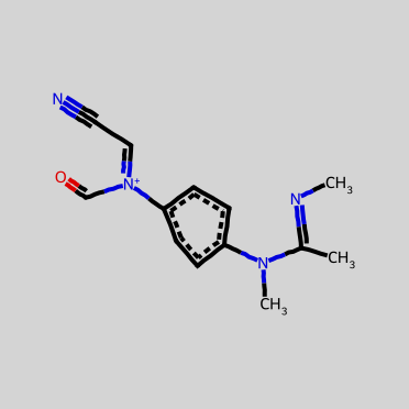 CN=C(C)N(C)c1ccc([N+](C=O)=CC#N)cc1